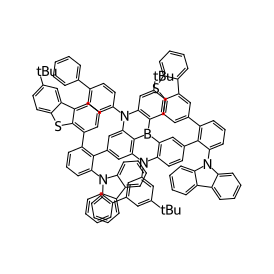 CC(C)(C)c1cc(-c2ccccc2)cc(N2c3ccc(-c4c(-c5ccc6sc7ccccc7c6c5)cccc4-n4c5ccccc5c5ccccc54)cc3B3c4ccc(C(C)(C)C)cc4N(c4ccc(-c5ccccc5)cc4)c4cc(-c5c(-c6cccc7c6sc6ccc(C(C)(C)C)cc67)cccc5-n5c6ccccc6c6ccccc65)cc2c43)c1